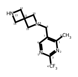 Cc1nc(C(F)(F)F)ncc1CN1CC2(CNC2)C1